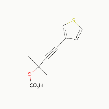 CC(C)(C#Cc1ccsc1)OC(=O)O